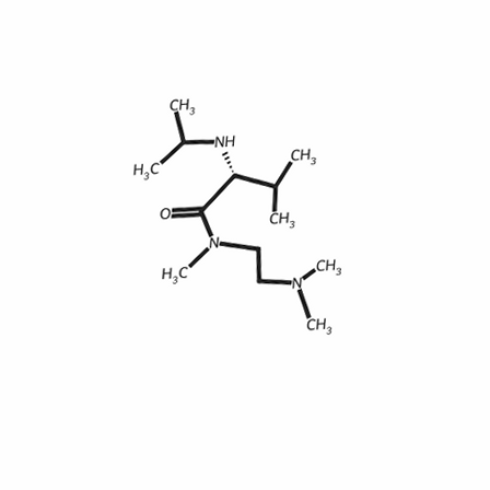 CC(C)N[C@@H](C(=O)N(C)CCN(C)C)C(C)C